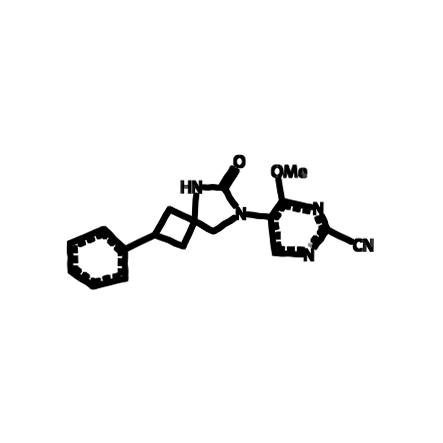 COc1nc(C#N)ncc1N1CC2(CC(c3ccccc3)C2)NC1=O